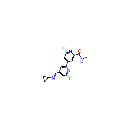 CNC(=O)c1cc(-c2cc(/C=N/C3CC3)cc(Cl)n2)cc(F)n1